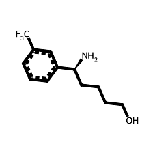 N[C@@H](CCCCO)c1cccc(C(F)(F)F)c1